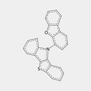 c1ccc2c(c1)oc1c(-n3c4ccccc4c4sc5ccccc5c43)cccc12